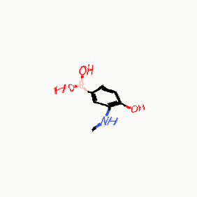 CNc1cc(B(O)O)ccc1O